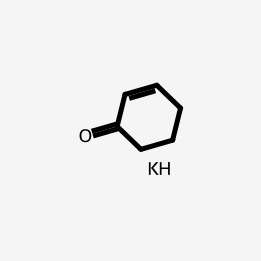 O=C1C=CCCC1.[KH]